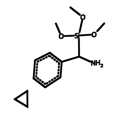 C1CC1.CO[Si](OC)(OC)C(N)c1ccccc1